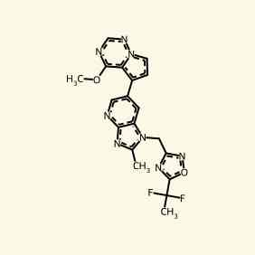 COc1ncnn2ccc(-c3cnc4nc(C)n(Cc5noc(C(C)(F)F)n5)c4c3)c12